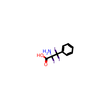 N[C@](I)(C(=O)O)C(I)(I)c1ccccc1